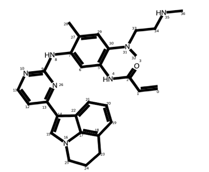 C=CC(=O)Nc1cc(Nc2nccc(-c3cn4c5c(cccc35)CCC4)n2)c(C)cc1N(C)CCNC